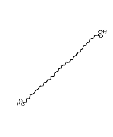 O=C(O)CCCCCCCC=CCC=CCC=CCCCCCCCCC=CCC=CCC=CCCCCCCCC(=O)O